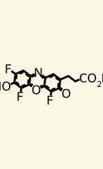 O=C(O)CCc1cc2nc3cc(F)c(O)c(F)c3oc-2c(F)c1=O